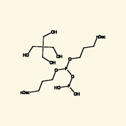 CCCCCCCCCCCCCOP(OCCCCCCCCCCCCC)OP(O)O.OCC(CO)(CO)CO